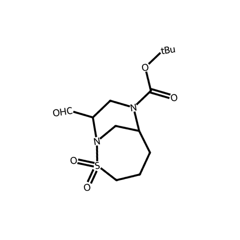 CC(C)(C)OC(=O)N1CC(C=O)N2CC1CCCS2(=O)=O